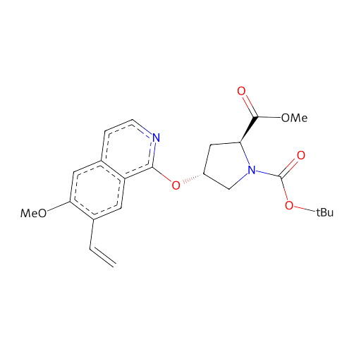 C=Cc1cc2c(O[C@@H]3C[C@@H](C(=O)OC)N(C(=O)OC(C)(C)C)C3)nccc2cc1OC